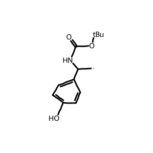 [CH2]C(NC(=O)OC(C)(C)C)c1ccc(O)cc1